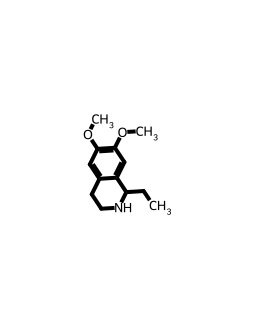 CCC1NCCc2cc(OC)c(OC)cc21